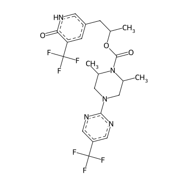 CC(Cc1c[nH]c(=O)c(C(F)(F)F)c1)OC(=O)N1C(C)CN(c2ncc(C(F)(F)F)cn2)CC1C